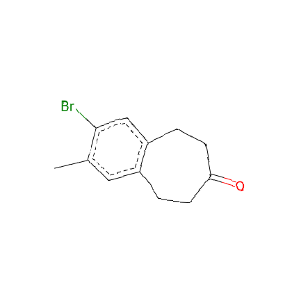 Cc1cc2c(cc1Br)CCC(=O)CC2